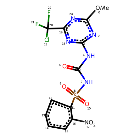 COc1nc(NC(=O)NS(=O)(=O)c2ccccc2[N+](=O)[O-])nc(C(F)(F)Cl)n1